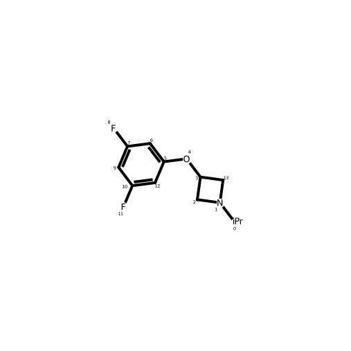 CC(C)N1CC(Oc2cc(F)cc(F)c2)C1